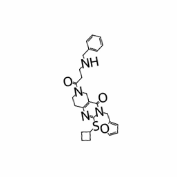 O=C(CCNCc1ccccc1)N1CCc2nc(SC3CCC3)n(Cc3ccco3)c(=O)c2C1